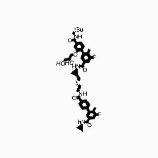 Cc1c(F)cc(C(=O)NC2CC2)cc1-c1ccc(C(=O)NCCSCC2CC2NC(=O)c2cc(F)c(C)c(-c3ccc(C(=O)NCC(C)(C)C)cc3OCC(O)CO)c2)cc1